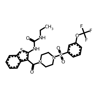 CCNC(=O)Nc1sc2ccccc2c1C(=O)N1CCN(S(=O)(=O)c2cccc(OC(F)(F)F)c2)CC1